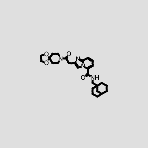 O=C(NCC12CCCC(CCC1)C2)c1cccc2nc(CC(=O)N3CCC4(CC3)OCCO4)cn12